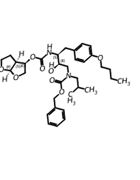 CCCCOc1ccc(C[C@H](NC(=O)O[C@H]2CO[C@H]3OCC[C@H]32)[C@H](O)CN(CC(C)C)C(=O)OCc2ccccc2)cc1